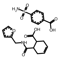 NS(=O)(=O)c1ccc(C(=O)O)cc1.O=C(O)C1CC=CCC1C(=O)NCc1ccco1